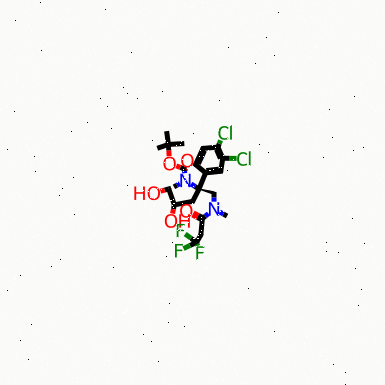 CN(C[C@](CC(O)CO)(c1ccc(Cl)c(Cl)c1)N(C)C(=O)OC(C)(C)C)C(=O)CC(F)(F)F